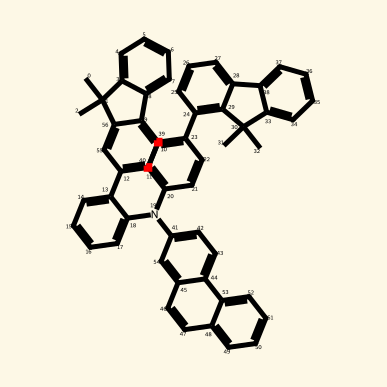 CC1(C)c2ccccc2-c2ccc(-c3ccccc3N(c3ccc(-c4cccc5c4C(C)(C)c4ccccc4-5)cc3)c3ccc4c(ccc5ccccc54)c3)cc21